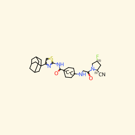 N#C[C@@H]1C[C@H](F)CN1C(=O)CNC12CCC(C(=O)Nc3nc(C45CC6CC(CC(C6)C4)C5)cs3)(CC1)CC2